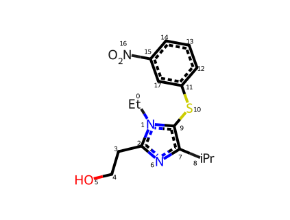 CCn1c(CCO)nc(C(C)C)c1Sc1cccc([N+](=O)[O-])c1